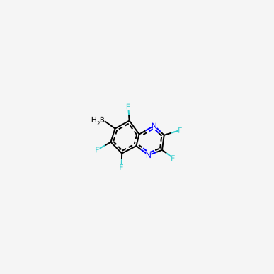 Bc1c(F)c(F)c2nc(F)c(F)nc2c1F